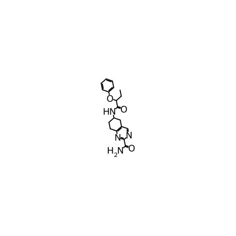 CCC(Oc1ccccc1)C(=O)NC1CCc2nc(C(N)=O)ncc2C1